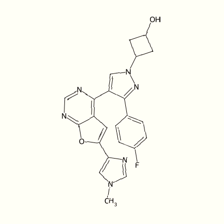 Cn1cnc(-c2cc3c(-c4cn(C5CC(O)C5)nc4-c4ccc(F)cc4)ncnc3o2)c1